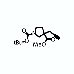 C#CCC1(C(=O)OC)CCN(C(=O)OC(C)(C)C)C1